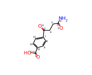 NC(=O)CCC(=O)c1ccc(C(=O)O)cc1